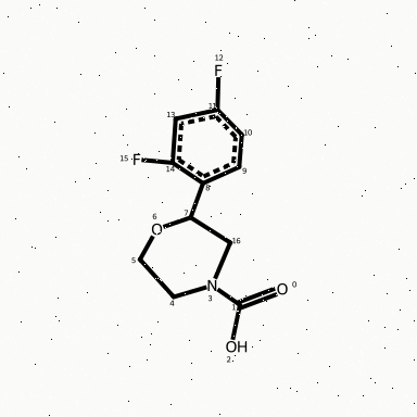 O=C(O)N1CCOC(c2ccc(F)cc2F)C1